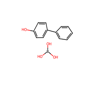 OB(O)O.Oc1ccc(-c2ccccc2)cc1